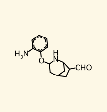 Nc1ccccc1OC1CC2CC(C=O)C(C2)N1